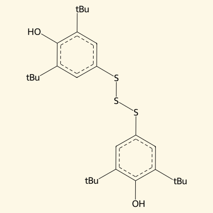 CC(C)(C)c1cc(SSSc2cc(C(C)(C)C)c(O)c(C(C)(C)C)c2)cc(C(C)(C)C)c1O